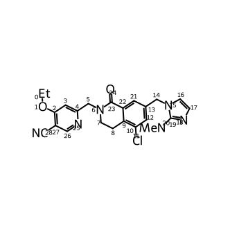 CCOc1cc(CN2CCc3c(Cl)cc(Cn4ccnc4NC)cc3C2=O)ncc1C#N